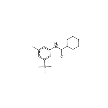 Cc1cc([SiH2]C(Cl)C2CCCCC2)cc([Si](C)(C)C)c1